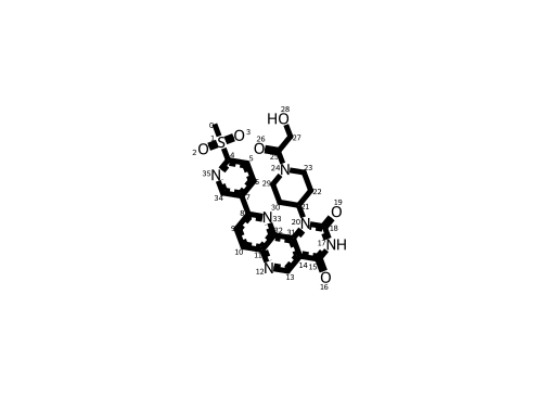 CS(=O)(=O)c1ccc(-c2ccc3ncc4c(=O)[nH]c(=O)n(C5CCN(C(=O)CO)CC5)c4c3n2)cn1